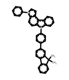 CC1(C)c2ccccc2-c2ccc(-c3ccc(-n4c5ccccc5c5c6ccn(-c7ccccc7)c6ccc54)cc3)cc21